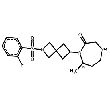 C[C@@H]1CCNCC(=O)N1C1CC2(C1)CN(S(=O)(=O)c1ccccc1F)C2